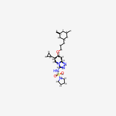 C=C1CC(C)CC(CCCOc2cc3nnc(NS(=O)(=O)N4CCCC4)n3cc2C2CC2)C1